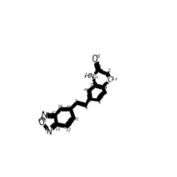 O=C1COc2ccc(C=Cc3ccc4nonc4c3)cc2N1